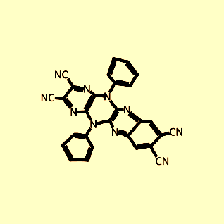 N#Cc1cc2nc3c(nc2cc1C#N)N(c1ccccc1)c1nc(C#N)c(C#N)nc1N3c1ccccc1